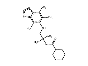 Cc1c(NCC(C)(C)NC(=O)C2CCCCC2)c(N)c2nnnn2c1C